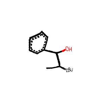 CC(C(O)c1ccccc1)C(C)(C)C